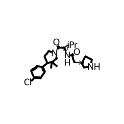 CC(C)[C@@H](NC(=O)C[C@H]1CCNC1)C(=O)N1CCC(c2ccc(Cl)cc2)C(C)(C)C1